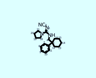 N#C/N=C(/NCC1(c2ccccc2)CCCCC1)N1CCCC1